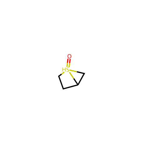 O=[SH]12CCC1C2